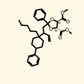 [CH]=CC(CC1(c2ccccc2)O[C@@H](C(=O)OC)[C@H](C(=O)OC)O1)C1(CCCCC)CCC(c2ccccc2)CC1